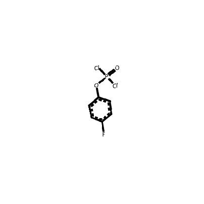 O=P(Cl)(Cl)Oc1ccc(F)cc1